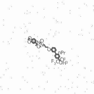 CCCc1cc(C(O)(C(F)(F)F)C(F)(F)F)ccc1-c1cccc(OCCCN2COC(C)(c3ccc4c(c3)OCO4)NC2=O)c1